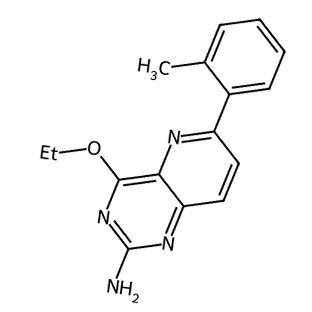 CCOc1nc(N)nc2ccc(-c3ccccc3C)nc12